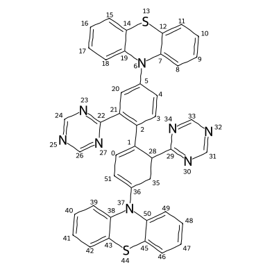 C1=C(c2ccc(N3c4ccccc4Sc4ccccc43)cc2-c2ncncn2)C(c2ncncn2)CC(N2c3ccccc3Sc3ccccc32)=C1